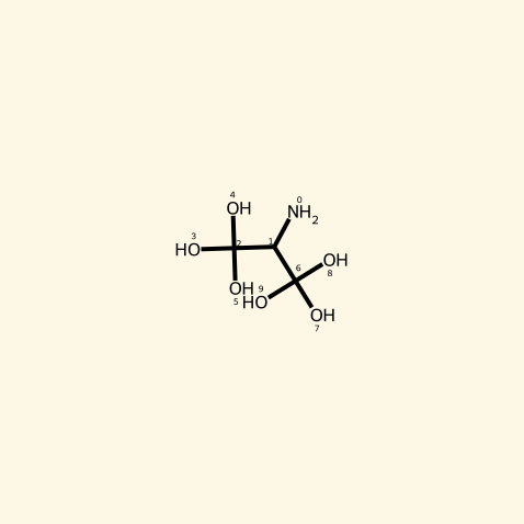 NC(C(O)(O)O)C(O)(O)O